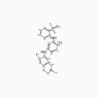 CN1CCc2cc(F)c(Nc3ncc(Cl)c(Nc4ccccc4P(C)(C)=O)n3)cc2C1